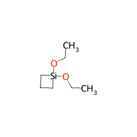 CCO[Si]1(OCC)CCC1